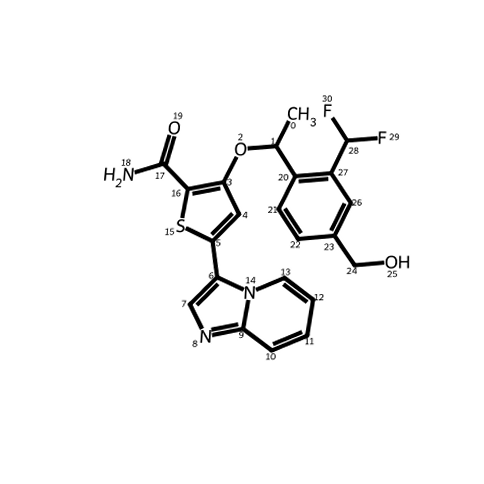 CC(Oc1cc(-c2cnc3ccccn23)sc1C(N)=O)c1ccc(CO)cc1C(F)F